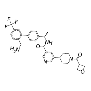 C[C@@H](NC(=O)c1cncc(C2CCN(C(=O)C3COC3)CC2)c1)c1ccc(-c2cc(C(F)(F)F)ccc2CN)cc1